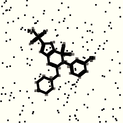 NS(=O)(=O)c1cc2c(s1)S(=O)(=O)N(c1cccc(O)c1)C(CN1CCOCC1)=C2